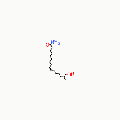 CC(CO)CCCC/C=C\CCCCCCCC(N)=O